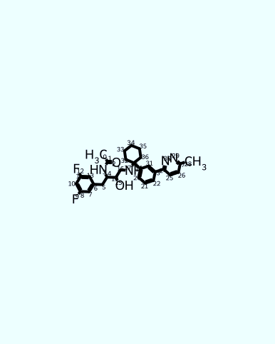 CC(=O)NC(Cc1cc(F)cc(F)c1)C(O)CNC1(c2cccc(-c3ccc(C)nn3)c2)CCCCC1